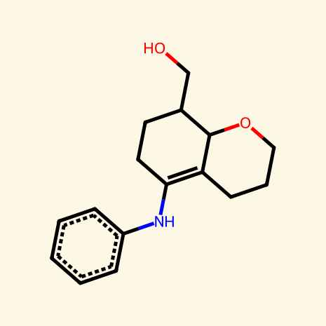 OCC1CCC(Nc2ccccc2)=C2CCCOC21